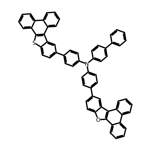 c1ccc(-c2ccc(N(c3ccc(-c4ccc5oc6c7ccccc7c7ccccc7c6c5c4)cc3)c3ccc(-c4ccc5sc6c7ccccc7c7ccccc7c6c5c4)cc3)cc2)cc1